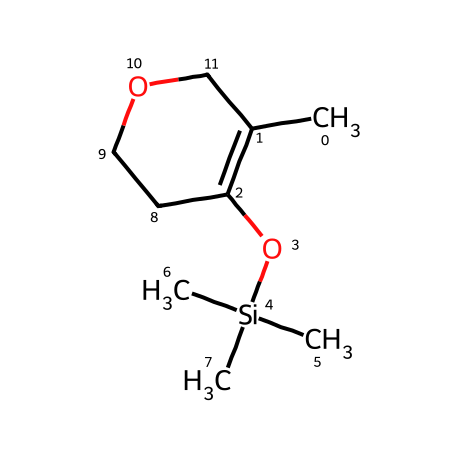 CC1=C(O[Si](C)(C)C)CCOC1